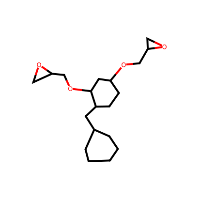 C1CCC(CC2CCC(OCC3CO3)CC2OCC2CO2)CC1